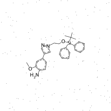 COc1cc(-c2cnn(CCO[Si](c3ccccc3)(c3ccccc3)C(C)(C)C)c2)ccc1N